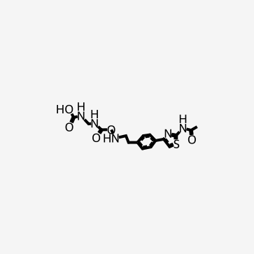 CC(=O)Nc1nc(-c2ccc(CCNOC(=O)NCNC(=O)O)cc2)cs1